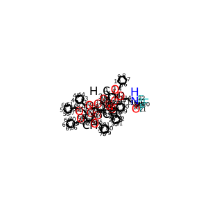 CC1C(OCc2ccccc2)[C@H](OCCCNC(=O)C(F)(F)F)O[C@@H](COCc2ccccc2)[C@H]1O[C@@H]1OC(COCc2ccccc2)[C@H](O[C@H]2OC(COCc3ccccc3)[C@H](OCc3ccccc3)[C@H](C)C2OCc2ccccc2)[C@H](C)C1OCc1ccccc1